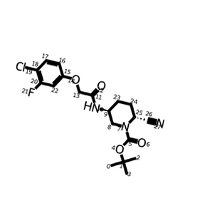 CC(C)(C)OC(=O)N1C[C@@H](NC(=O)COc2ccc(Cl)c(F)c2)CC[C@@H]1C#N